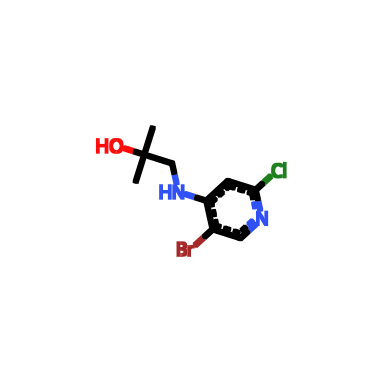 CC(C)(O)CNc1cc(Cl)ncc1Br